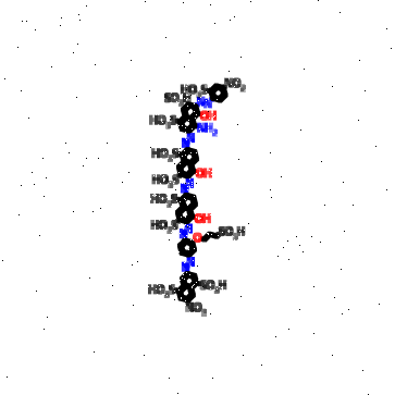 Nc1c(N=Nc2ccc3c(O)c(N=Nc4ccc5c(O)c(N=Nc6ccc(N=Nc7cc(S(=O)(=O)O)c8cc([N+](=O)[O-])cc(S(=O)(=O)O)c8c7)cc6OCCCS(=O)(=O)O)c(S(=O)(=O)O)cc5c4S(=O)(=O)O)c(S(=O)(=O)O)cc3c2S(=O)(=O)O)cc(S(=O)(=O)O)c2cc(S(=O)(=O)O)c(N=Nc3ccc([N+](=O)[O-])cc3S(=O)(=O)O)c(O)c12